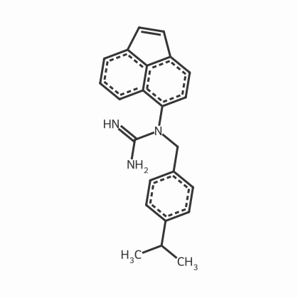 CC(C)c1ccc(CN(C(=N)N)c2ccc3c4c(cccc24)C=C3)cc1